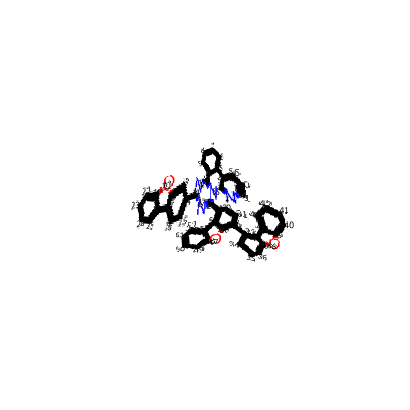 c1cncc(-c2ccccc2-c2nc(-c3ccc4c(c3)oc3ccccc34)nc(-c3ccc(-c4cccc5oc6ccccc6c45)c4oc5ccccc5c34)n2)c1